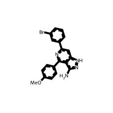 COc1ccc(-c2nc(-c3cccc(Br)c3)cc3[nH]nc(N)c23)cc1